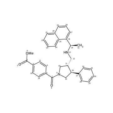 COC(=O)c1ccc(C(=O)N2C[C@H](CN[C@H](C)c3cccc4ccccc34)[C@@H](c3ccccc3)C2)cc1